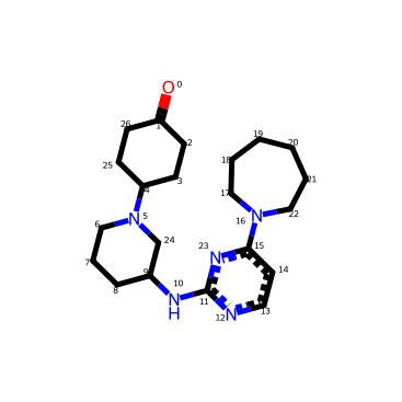 O=C1CCC(N2CCCC(Nc3nccc(N4CCCCCC4)n3)C2)CC1